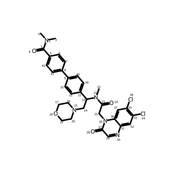 CN(C)C(=O)c1ccc(-c2ccc(C(CN3CCOCC3)N(C)C(=O)Cn3c(=O)cnc4cc(Cl)c(Cl)cc43)cc2)cc1